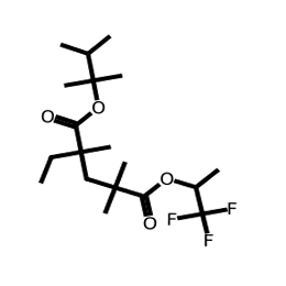 CCC(C)(CC(C)(C)C(=O)OC(C)C(F)(F)F)C(=O)OC(C)(C)C(C)C